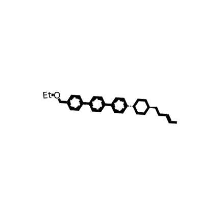 C/C=C/CC[C@H]1CC[C@H](c2ccc(-c3ccc(-c4ccc(COCC)cc4)cc3)cc2)CC1